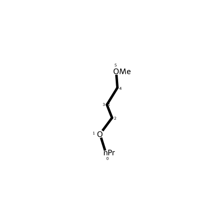 CCCOC[C]COC